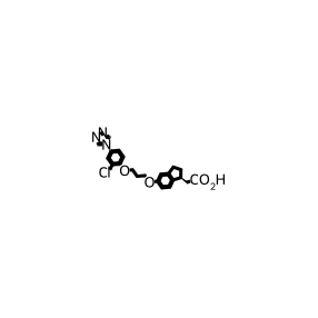 O=C(O)C[C@@H]1CCc2cc(OCCCOc3ccc(-n4cnnc4)cc3Cl)ccc21